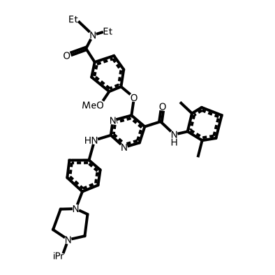 CCN(CC)C(=O)c1ccc(Oc2nc(Nc3ccc(N4CCN(C(C)C)CC4)cc3)ncc2C(=O)Nc2c(C)cccc2C)c(OC)c1